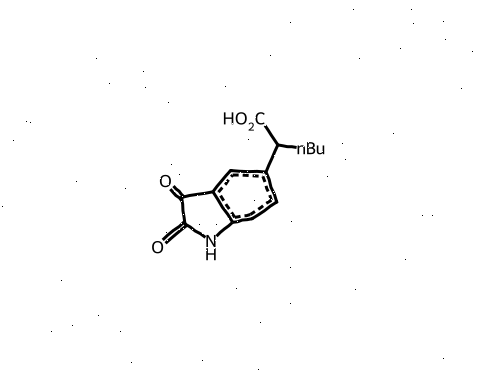 CCCCC(C(=O)O)c1ccc2c(c1)C(=O)C(=O)N2